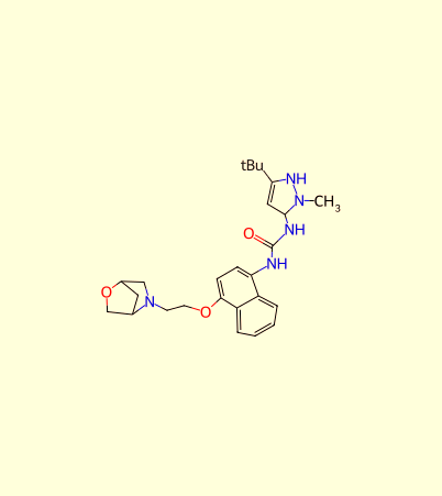 CN1NC(C(C)(C)C)=CC1NC(=O)Nc1ccc(OCCN2CC3CC2CO3)c2ccccc12